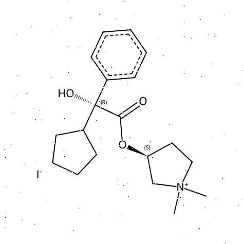 C[N+]1(C)CC[C@H](OC(=O)[C@](O)(c2ccccc2)C2CCCC2)C1.[I-]